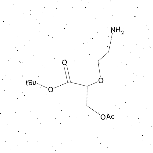 CC(=O)OCC(OCCN)C(=O)OC(C)(C)C